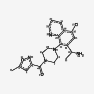 Cc1cc(C(=O)N2CCN(c3c(C(C)N)cc(Cl)c4cccnc34)CC2)no1